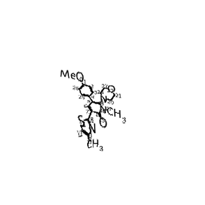 COc1ccc(-c2cc(-c3nc(C)cs3)c(=O)n(C)c2N2CCOCC2)cc1